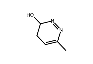 CC1=CCC(O)N=N1